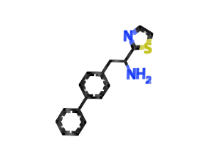 NC(Cc1ccc(-c2ccccc2)cc1)c1nccs1